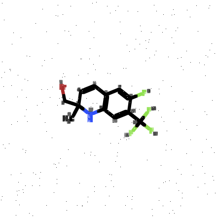 CC1(CBr)C=Cc2cc(F)c(C(F)(F)F)cc2N1